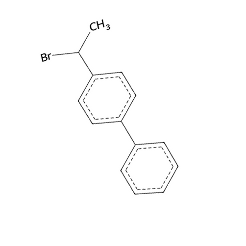 CC(Br)c1ccc(-c2ccccc2)cc1